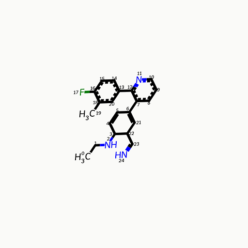 CCNC1C=CC(c2cccnc2-c2ccc(F)c(C)c2)=CC1C=N